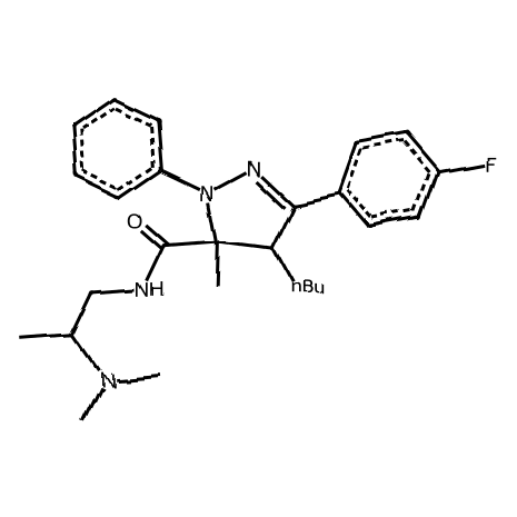 CCCCC1C(c2ccc(F)cc2)=NN(c2ccccc2)C1(C)C(=O)NCC(C)N(C)C